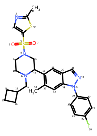 Cc1ncc(S(=O)(=O)N2CCN(CC3CCC3)C(c3cc4cnn(-c5ccc(F)cc5)c4cc3C)C2)s1